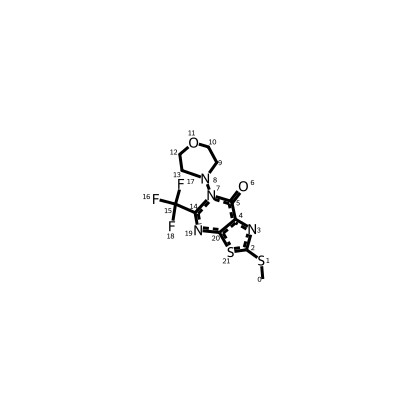 CSc1nc2c(=O)n(N3CCOCC3)c(C(F)(F)F)nc2s1